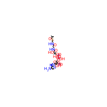 C=C(C)C(=O)SCCNC(=O)CCNC(=O)C(O)C(C)(C)COP(=O)(O)OP(=O)(O)OC[C@H]1O[C@@H](n2cnc3c(N)ccnc32)[C@H](O)[C@@H]1OP=O